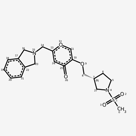 CS(=O)(=O)N1CC[C@@H](COc2coc(CN3Cc4ccccc4C3)cc2=O)C1